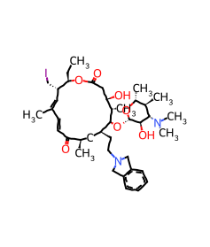 CC[C@H]1OC(=O)C[C@@H](O)[C@H](C)[C@@H](O[C@@H]2O[C@H](C)[C@@H](C)[C@H](N(C)C)[C@H]2O)[C@@H](CCN2Cc3ccccc3C2)C[C@@H](C)C(=O)/C=C/C(C)=C/[C@@H]1CI